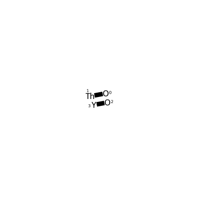 [O]=[Th].[O]=[Y]